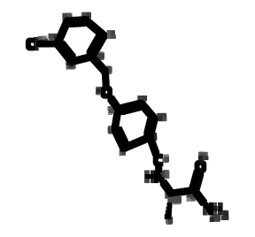 C[C@H](NCc1ccc(OCc2cccc(Cl)c2)cc1)C(N)=O